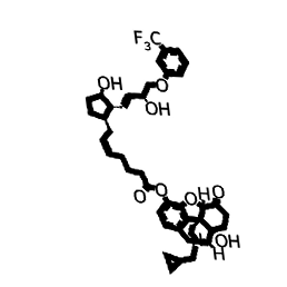 O=C(CCC/C=C\C[C@H]1CC[C@@H](O)[C@@H]1/C=C/[C@@H](O)COc1cccc(C(F)(F)F)c1)Oc1ccc2c3c1O[C@@H]1C(=O)CC[C@]4(O)[C@H](C2)N(CC2CC2)CC[C@@]314